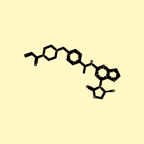 C=CC(=O)N1CCN(Cc2ccc(C(C)Nc3nc(N4C(=O)OC[C@@H]4C(C)C)c4sccc4n3)cc2)CC1